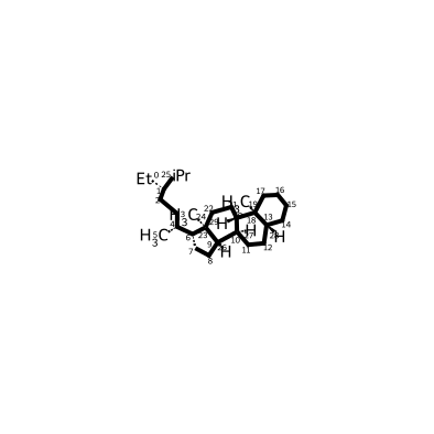 CC[C@@H](CC[C@@H](C)[C@H]1CC[C@H]2[C@@H]3CC[C@H]4CCCC[C@]4(C)[C@H]3CC[C@]12C)C(C)C